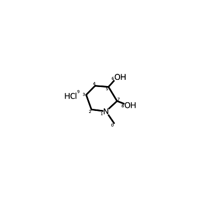 CN1CCCC(O)C1O.Cl